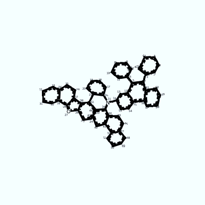 c1ccc(-c2c(-c3ccccc3)c3cc(N(c4ccccc4-c4cccc5oc6c7ccccc7ccc6c45)c4cccc5c4ccc4ccccc45)ccc3c3ccccc23)cc1